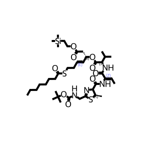 C/C=C(\NC(=O)C1N=C(CNC(=O)OC(C)(C)C)S[C@@H]1C)C(=O)N[C@H](C(=O)O[C@H](/C=C/CCSC(=O)CCCCCCC)CC(=O)OCC[Si](C)(C)C)C(C)C